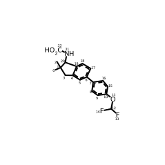 CC1(C)Cc2cc(-c3ccc(OC(F)F)cc3)ccc2C1NC(=O)O